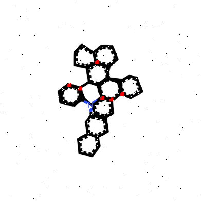 c1ccc(-c2ccccc2-c2c(-c3ccccc3)cccc2-c2ccccc2N(c2cccc(-c3cccc4ccccc34)c2)c2ccc3ccccc3c2)cc1